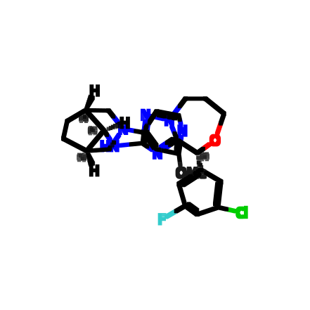 COc1cc(N2C[C@H]3CC[C@@H](C2)[C@@H]3Nc2nc3n(n2)CCCO[C@@H]3c2cc(F)cc(Cl)c2)ccn1